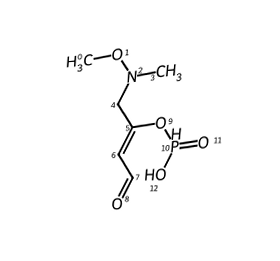 CON(C)CC(=CC=O)O[PH](=O)O